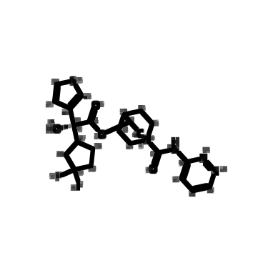 O=C(OC1C[N+]2(C(=O)Nc3cccnn3)CCC1CC2)[C@](O)(c1ccsc1)C1CCC(F)(F)C1